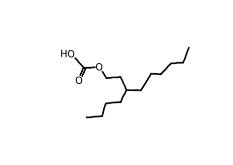 CCCCCCC(CCCC)CCOC(=O)O